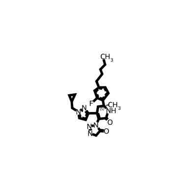 CCCCCc1ccc([C@]2(C)CC(c3ccn(CC4CC4)n3)=C(N3N=NCC3=O)C(=O)N2)c(F)c1